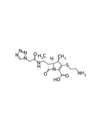 C[C@@H](NC(=O)Cn1cnnn1)[C@H]1C(=O)N2C(C(=O)O)=C(SCCN)[C@H](C)[C@H]12